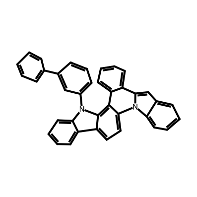 c1ccc(-c2cccc(-n3c4ccccc4c4ccc5c(c6ccccc6c6cc7ccccc7n65)c43)c2)cc1